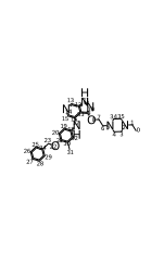 CCN1CCN(CCOc2n[nH]c3cncc(Nc4ccc(OCc5ccccc5)c(C)c4)c23)CC1